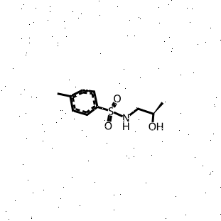 Cc1ccc(S(=O)(=O)NC[C@@H](C)O)cc1